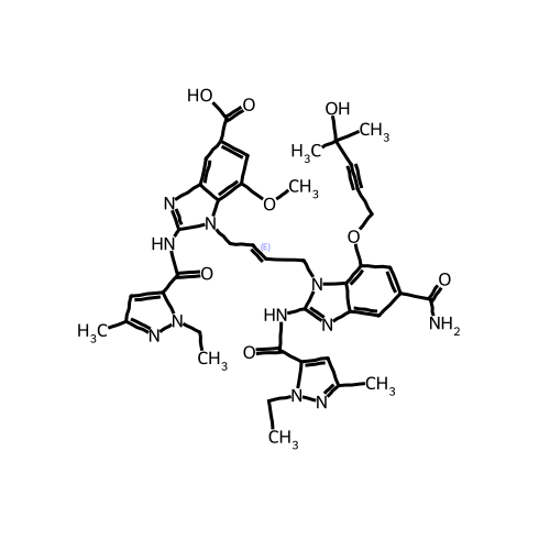 CCn1nc(C)cc1C(=O)Nc1nc2cc(C(=O)O)cc(OC)c2n1C/C=C/Cn1c(NC(=O)c2cc(C)nn2CC)nc2cc(C(N)=O)cc(OCC#CC(C)(C)O)c21